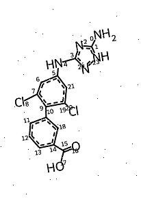 Nc1nc(Nc2cc(Cl)c(-c3cccc(C(=O)O)c3)c(Cl)c2)n[nH]1